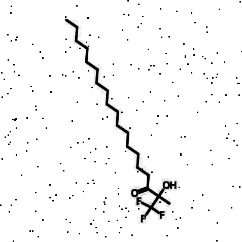 CCCCCCCCCCCCCCCCC(=O)C(C)(O)C(F)(F)F